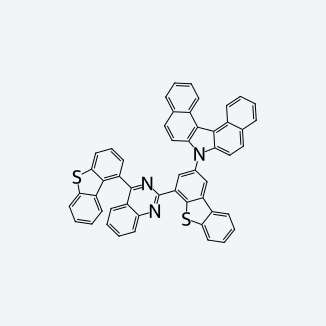 c1ccc2c(c1)ccc1c2c2c3ccccc3ccc2n1-c1cc(-c2nc(-c3cccc4sc5ccccc5c34)c3ccccc3n2)c2sc3ccccc3c2c1